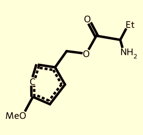 CCC(N)C(=O)OCc1ccc(OC)cc1